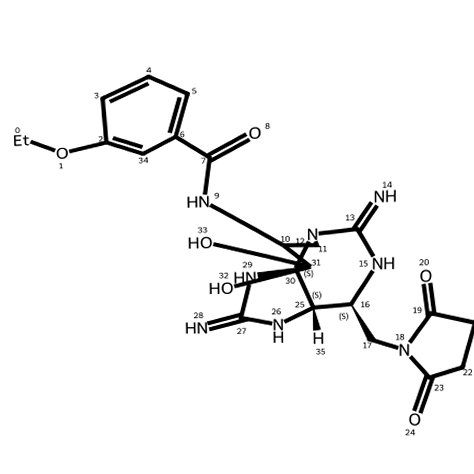 CCOc1cccc(C(=O)NC2CN3C(=N)N[C@@H](CN4C(=O)CCC4=O)[C@@H]4NC(=N)N[C@@]43C2(O)O)c1